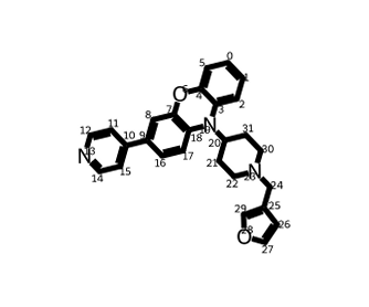 c1ccc2c(c1)Oc1cc(-c3ccncc3)ccc1N2C1CCN(Cc2ccoc2)CC1